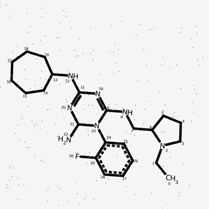 CCN1CCCC1CNC1=NC(NC2CCCCCC2)=NC(N)N1c1ccccc1F